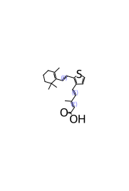 CC1=C(/C=C/c2sccc2/C=C/C(C)=C/C(=O)O)C(C)(C)CCC1